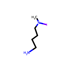 CN(I)CCCCN